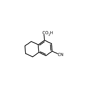 N#Cc1cc2c(c(C(=O)O)c1)CCCC2